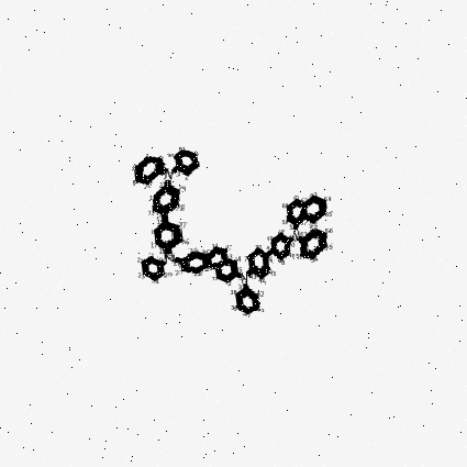 c1ccc(N(c2ccccc2)c2ccc(-c3ccc(N(c4ccccc4)c4ccc5c(ccc6cc(N(c7ccccc7)c7ccc(-c8ccc(N(c9ccccc9)c9cccc%10ccccc9%10)cc8)cc7)ccc65)c4)cc3)cc2)cc1